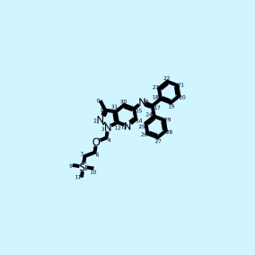 Cc1nn(COCC[Si](C)(C)C)c2ncc(N=C(c3ccccc3)c3ccccc3)cc12